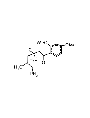 COc1ccc(C(=O)CC(C)(C)CC(C)CP)c(OC)c1